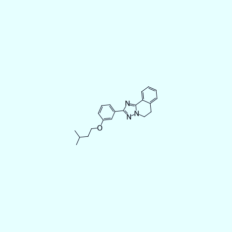 CC(C)CCOc1cccc(-c2nc3n(n2)CCc2ccccc2-3)c1